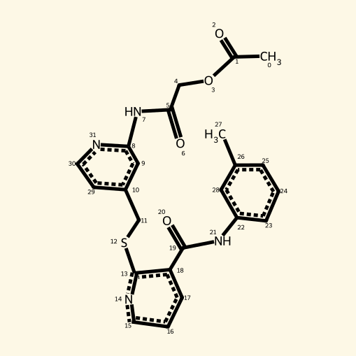 CC(=O)OCC(=O)Nc1cc(CSc2ncccc2C(=O)Nc2cccc(C)c2)ccn1